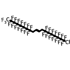 FC(F)(F)C(F)(F)C(F)(F)C(F)(F)C(F)(F)C(F)(F)C(F)(F)C(F)(F)CC=CCC(F)(F)C(F)(F)C(F)(F)C(F)(F)C(F)(F)C(F)(F)C(F)(F)C(F)(F)F